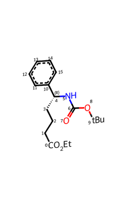 CCOC(=O)CCC[C@@H](NC(=O)OC(C)(C)C)c1ccccc1